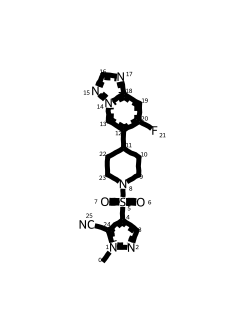 Cn1ncc(S(=O)(=O)N2CCC(c3cn4ncnc4cc3F)CC2)c1C#N